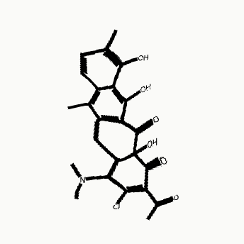 CC(=O)C1=C(Cl)C(N(C)C)C2Cc3c(c(O)c4c(O)c(C)ccc4c3C)C(=O)C2(O)C1=O